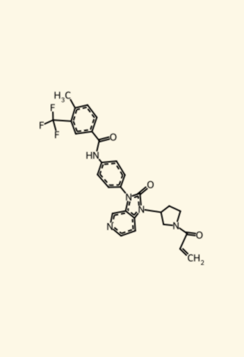 C=CC(=O)N1CCC(n2c(=O)n(-c3ccc(NC(=O)c4ccc(C)c(C(F)(F)F)c4)cc3)c3cnccc32)C1